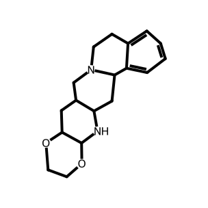 c1ccc2c(c1)CCN1CC3CC4OCCOC4NC3CC21